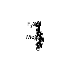 COc1cc(OCc2cncc(C(F)(F)F)c2)ccc1-c1cnc(-c2ccc(Cl)nc2)[nH]1